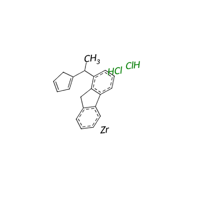 CC(C1=CC=CC1)c1cccc2c1Cc1ccccc1-2.Cl.Cl.[Zr]